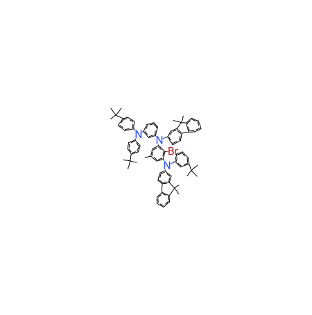 Cc1cc(N(c2cccc(N(c3ccc(C(C)(C)C)cc3)c3ccc(C(C)(C)C)cc3)c2)c2ccc3c(c2)C(C)(C)c2ccccc2-3)c(Br)c(N(c2cccc(C(C)(C)C)c2)c2ccc3c(c2)C(C)(C)c2ccccc2-3)c1